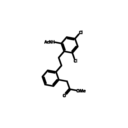 COC(=O)Cc1ccccc1CCc1c(Cl)cc(Cl)cc1NC(C)=O